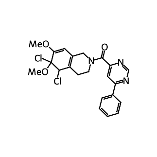 COC1=CC2=C(CCN(C(=O)c3cc(-c4ccccc4)ncn3)C2)C(Cl)C1(Cl)OC